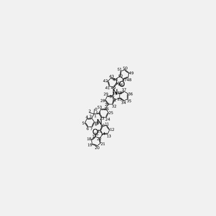 CC1(C)c2ccccc2N(c2cccc3c2oc2ccccc23)c2ccc(-c3ccc4c(c3)c3ccccc3n4-c3cccc4c3oc3ccccc34)cc21